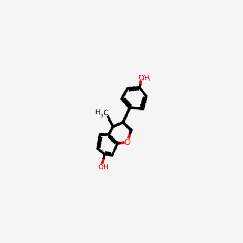 CC1c2ccc(O)cc2OCC1c1ccc(O)cc1